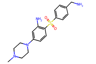 CN1CCN(c2ccc(S(=O)(=O)c3ccc(CN)cc3)c(N)c2)CC1